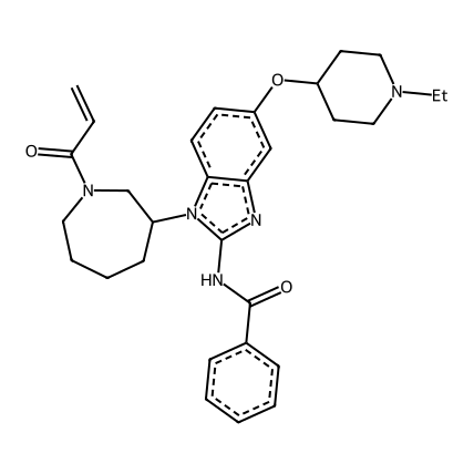 C=CC(=O)N1CCCCC(n2c(NC(=O)c3ccccc3)nc3cc(OC4CCN(CC)CC4)ccc32)C1